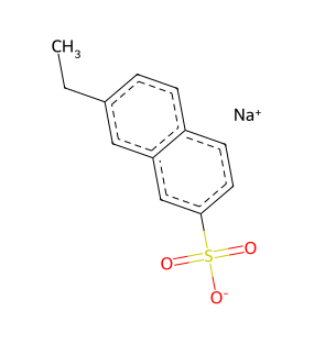 CCc1ccc2ccc(S(=O)(=O)[O-])cc2c1.[Na+]